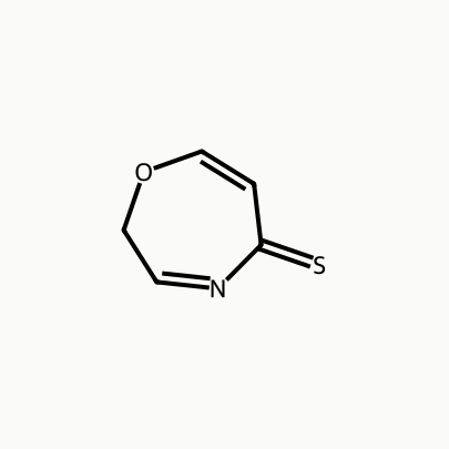 S=C1C=COCC=N1